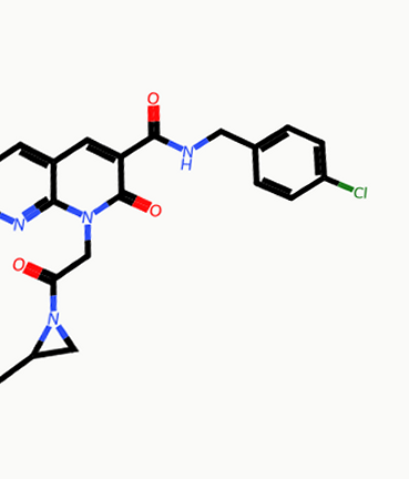 CC1CN1C(=O)Cn1c(=O)c(C(=O)NCc2ccc(Cl)cc2)cc2cccnc21